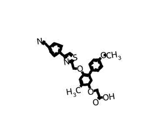 COc1ccc(C2=C(OCc3nc(-c4ccc(C#N)cc4)cs3)C=C(C)C(OCC(=O)O)C2)cc1